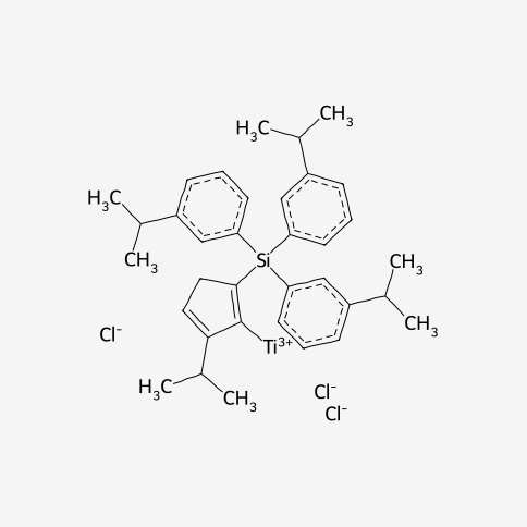 CC(C)C1=CCC([Si](c2cccc(C(C)C)c2)(c2cccc(C(C)C)c2)c2cccc(C(C)C)c2)=[C]1[Ti+3].[Cl-].[Cl-].[Cl-]